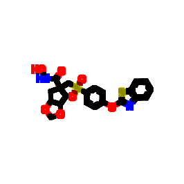 O=C(NO)C1(CS(=O)(=O)c2ccc(Oc3nc4ccccc4s3)cc2)CC2OCOC2C1